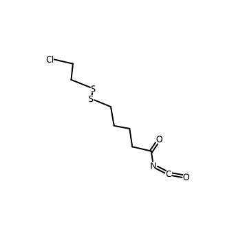 O=C=NC(=O)CCCCSSCCCl